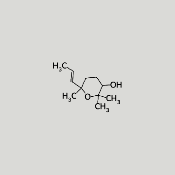 CC=CC1(C)CCC(O)C(C)(C)O1